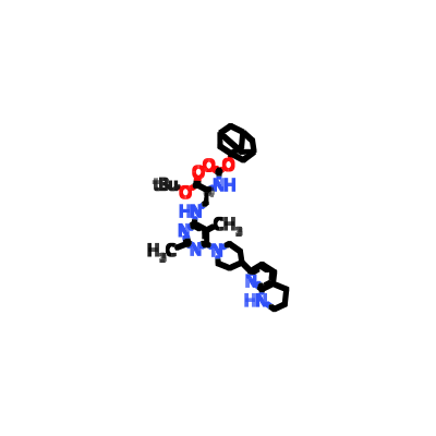 Cc1nc(NC[C@H](NC(=O)OC23CC4CC(CC(C4)C2)C3)C(=O)OC(C)(C)C)c(C)c(N2CCC(c3ccc4c(n3)NCCC4)CC2)n1